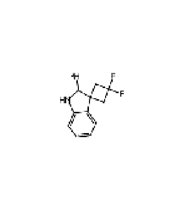 [2H]C1Nc2ccccc2C12CC(F)(F)C2